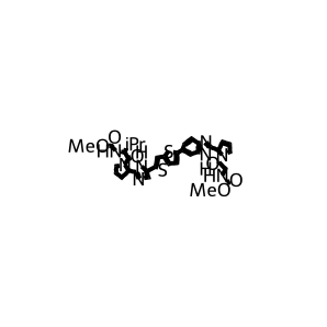 COC(=O)NCC(=O)N1CC=CC1c1nc2ccc(-c3cc4sc(-c5cnc(C6CCCN6C(=O)C(NC(=O)OC)C(C)C)[nH]5)cc4s3)cc2[nH]1